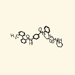 Cc1ccccc1-c1ccccc1C(=O)Nc1ccc(C(=O)N2CCC(=O)N(CC(=O)NN3CCCCC3)c3ccccc32)cc1